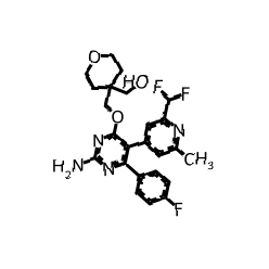 Cc1cc(-c2c(OCC3(CO)CCOCC3)nc(N)nc2-c2ccc(F)cc2)cc(C(F)F)n1